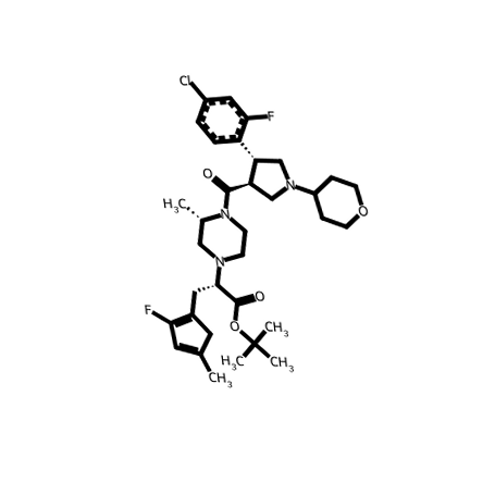 CC1=CC(F)=C(C[C@@H](C(=O)OC(C)(C)C)N2CCN(C(=O)[C@@H]3CN(C4CCOCC4)C[C@H]3c3ccc(Cl)cc3F)[C@@H](C)C2)C1